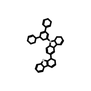 C1=CC2OC3=C(C=CCC3C3=CC4C5C=CCCC5N(C5=CC(C6=CCCC=C6)=CC(C6C=CCCC6)C5)C4C=C3)C2C=C1